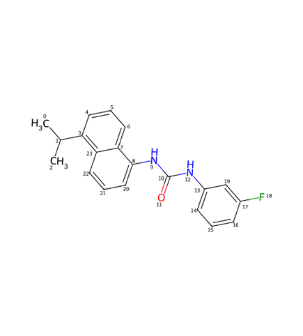 CC(C)c1cccc2c(NC(=O)Nc3cccc(F)c3)cccc12